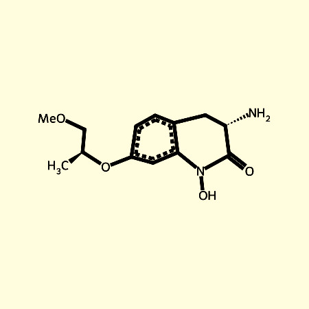 COC[C@H](C)Oc1ccc2c(c1)N(O)C(=O)[C@@H](N)C2